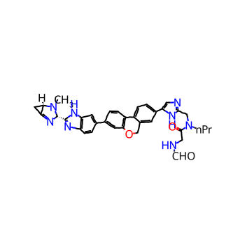 CCCN(Cc1ncc(-c2ccc3c(c2)COc2cc(-c4ccc5nc([C@@H]6N=C7C[C@H]7N6C)[nH]c5c4)ccc2-3)[nH]1)C(=O)CNC=O